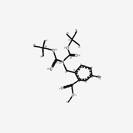 COC(=O)c1cc(Br)ccc1CN(C(=O)OC(C)(C)C)C(=O)OC(C)(C)C